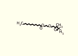 CCCCCCCCCCCC(=O)OCCCOCCC1OCC(C)[C@@H]1C